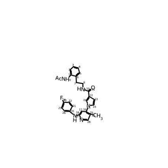 CC(=O)Nc1ccccc1CCNC(=O)c1ccn(-c2cc(Nc3ccc(F)cc3)ncc2C)c1